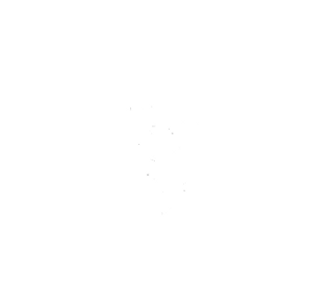 Cn1c(C(=O)O)cc2c(Cl)c(Cl)c(I)cc21